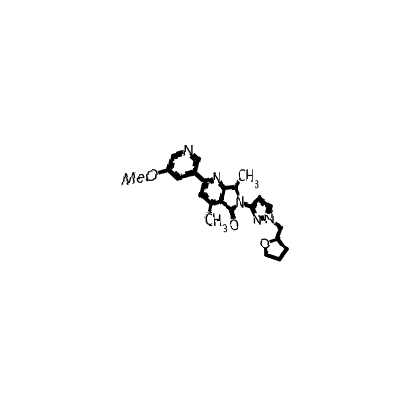 COc1cncc(-c2cc(C)c3c(n2)C(C)N(c2ccn(CC4CCCO4)n2)C3=O)c1